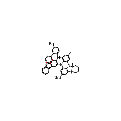 Cc1cc2c3c(c1)N1c4c(cc(C(C)(C)C)cc4C4(C)CCCCC14C)B3c1cc3c(cc1N2c1ccc(C(C)(C)C)cc1-c1ccccc1)sc1ccccc13